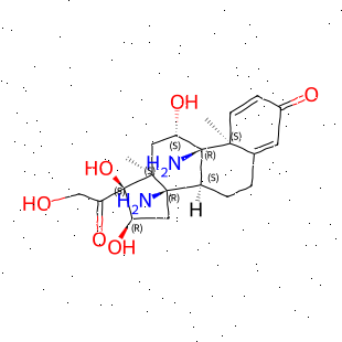 C[C@]12C[C@H](O)[C@@]3(N)[C@@H](CCC4=CC(=O)C=C[C@@]43C)[C@]1(N)C[C@@H](O)[C@]2(O)C(=O)CO